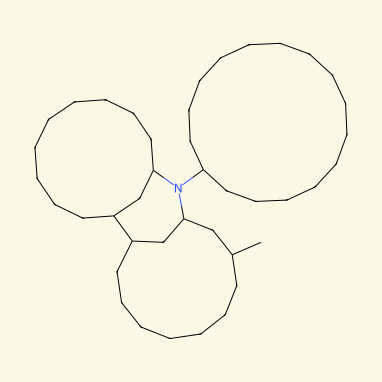 CC1CCCCCCCC2CC(C1)N(C1CCCCCCCCCCCCCCC1)C1CCCCCCCCCC2C1